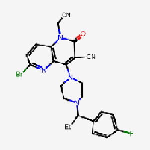 CCC(c1ccc(F)cc1)N1CCN(c2c(C#N)c(=O)n(CC#N)c3ccc(Br)nc23)CC1